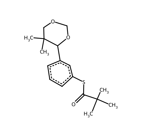 CC(C)(C)C(=O)Sc1cccc(C2OCOCC2(C)C)c1